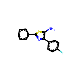 Nc1sc(-c2ccccc2)nc1-c1ccc(F)cc1